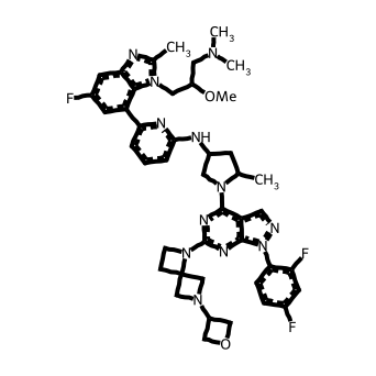 COC(CN(C)C)Cn1c(C)nc2cc(F)cc(-c3cccc(NC4CC(C)N(c5nc(N6CCC67CN(C6COC6)C7)nc6c5cnn6-c5ccc(F)cc5F)C4)n3)c21